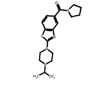 CC(C)N1CCN(c2nc3cc(C(=O)N4CCCC4)ccc3s2)CC1